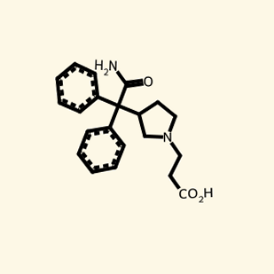 NC(=O)C(c1ccccc1)(c1ccccc1)C1CCN(CCC(=O)O)C1